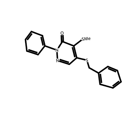 CSc1c(SCc2ccccc2)cnn(-c2ccccc2)c1=O